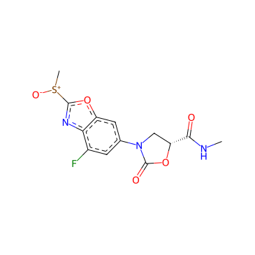 CNC(=O)[C@H]1CN(c2cc(F)c3nc([S+](C)[O-])oc3c2)C(=O)O1